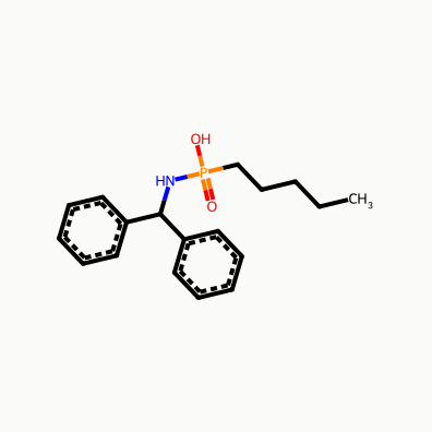 CCCCCP(=O)(O)NC(c1ccccc1)c1ccccc1